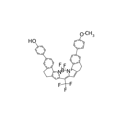 COc1ccc(-c2ccc3c(c2)CCC2=CC4=C(C(F)(F)F)c5cc6c(n5[B-](F)(F)[N+]4=C23)-c2ccc(-c3ccc(O)cc3)cc2CC6)cc1